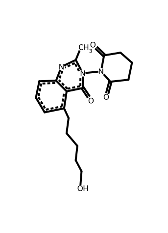 Cc1nc2cccc(CCCCCO)c2c(=O)n1N1C(=O)CCCC1=O